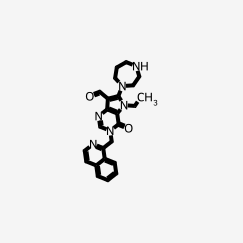 CCn1c(N2CCCNCC2)c(C=O)c2ncn(Cc3nccc4ccccc34)c(=O)c21